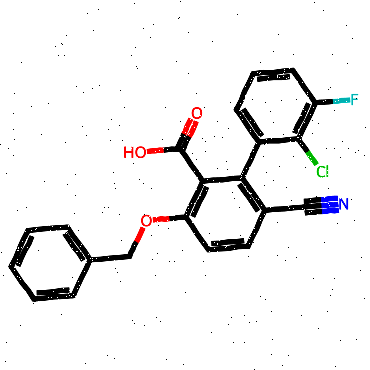 N#Cc1ccc(OCc2ccccc2)c(C(=O)O)c1-c1cccc(F)c1Cl